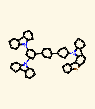 c1ccc2c(c1)sc1ccc3c4ccccc4n(-c4ccc(-c5ccc(-c6cc(-n7c8ccccc8c8ccccc87)cc(-n7c8ccccc8c8ccccc87)c6)cc5)cc4)c3c12